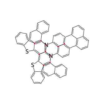 c1ccc2c(N(c3ccc(-c4cccc5cccc(-c6ccc(N(c7ccc8c(c7)sc7ccccc78)c7cccc8ccccc78)cc6)c45)cc3)c3ccc4c(c3)sc3ccccc34)cccc2c1